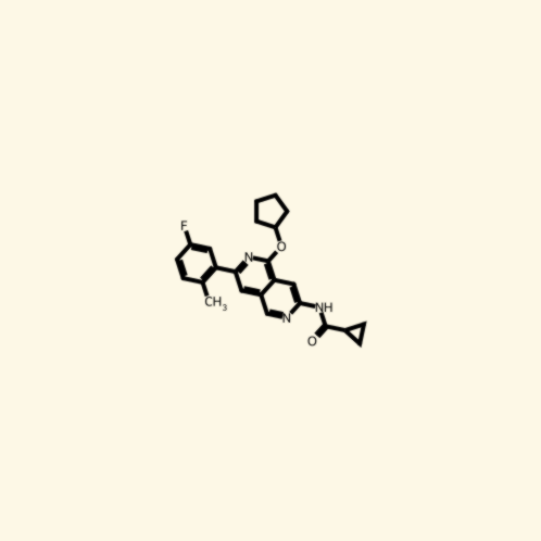 Cc1ccc(F)cc1-c1cc2cnc(NC(=O)C3CC3)cc2c(OC2CCCC2)n1